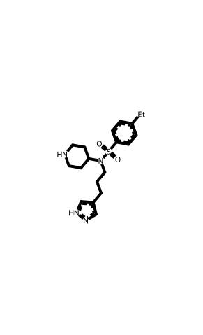 CCc1ccc(S(=O)(=O)N(CCCc2cn[nH]c2)C2CCNCC2)cc1